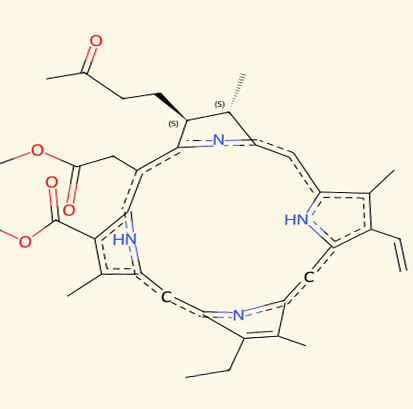 C=Cc1c(C)c2cc3nc(c(CC(=O)OC)c4[nH]c(cc5nc(cc1[nH]2)C(C)=C5CC)c(C)c4C(=O)OC)[C@@H](CCC(C)=O)[C@@H]3C